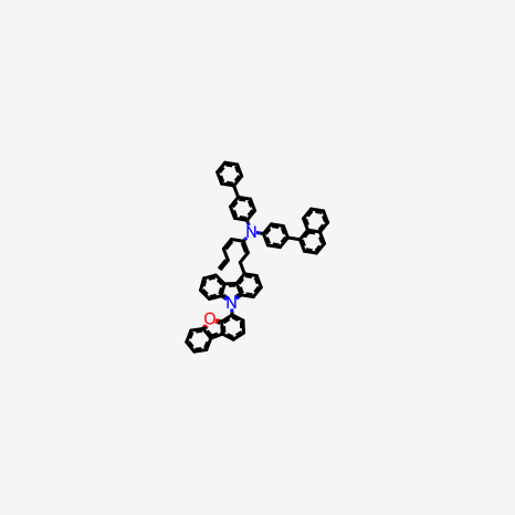 C=C/C=C\C(=C/Cc1cccc2c1c1ccccc1n2-c1cccc2c1oc1ccccc12)N(c1ccc(-c2ccccc2)cc1)c1ccc(-c2cccc3ccccc23)cc1